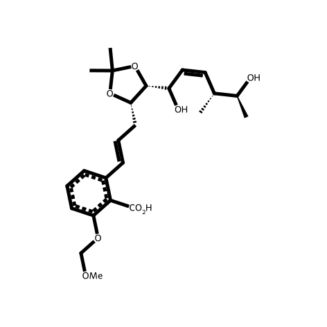 COCOc1cccc(/C=C/C[C@@H]2OC(C)(C)O[C@@H]2C(O)/C=C\[C@@H](C)[C@H](C)O)c1C(=O)O